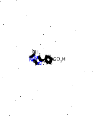 Bc1cnc2cnc(-c3ccc(C(=O)O)cc3)cn12